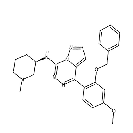 COc1ccc(-c2nnc(N[C@@H]3CCCN(C)C3)n3nccc23)c(OCc2ccccc2)c1